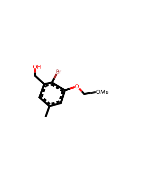 COCOc1cc(C)cc(CO)c1Br